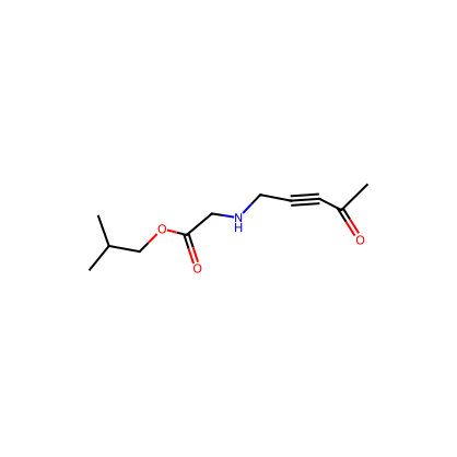 CC(=O)C#CCNCC(=O)OCC(C)C